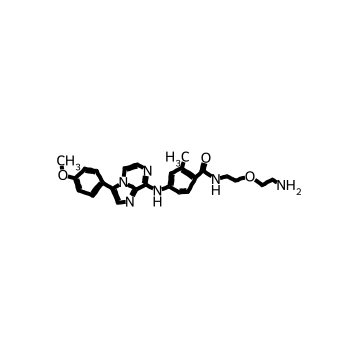 COc1ccc(-c2cnc3c(Nc4ccc(C(=O)NCCOCCN)c(C)c4)nccn23)cc1